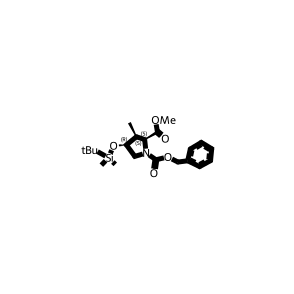 COC(=O)[C@@H]1[C@H](C)[C@@H](O[Si](C)(C)C(C)(C)C)CN1C(=O)OCc1ccccc1